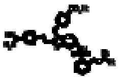 CCOC(=O)c1ccc(Cn2c(CCc3ccc(C(=N)N)cc3)nc3cc(NS(=O)(=O)c4ccccc4CCN(CC)CC)ccc32)cc1